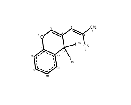 N#CC(C#N)=CC1=COc2ccccc2C1(I)I